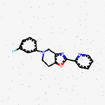 Fc1cccc(N2CCc3oc(-c4ccccn4)nc3C2)c1